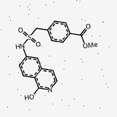 COC(=O)c1ccc(CS(=O)(=O)Nc2ccc3c(O)nccc3c2)cc1